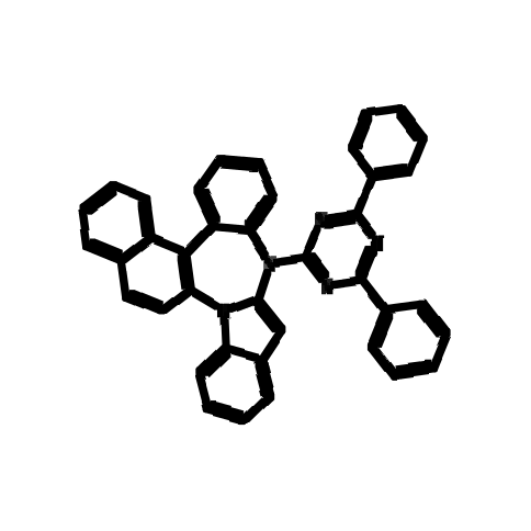 c1ccc(-c2nc(-c3ccccc3)nc(N3c4ccccc4-c4c(ccc5ccccc45)-n4c3cc3ccccc34)n2)cc1